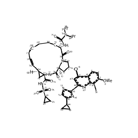 COc1ccc2c(O[C@@H]3C[C@H]4C(=O)N[C@]5(C(=O)NS(=O)(=O)C6CC6)C[C@H]5/C=C\CCCCC[C@H](NC(=O)N(C(C)C)C(C)C)C(=O)N4C3)cc(-c3nc(C4CC4)cs3)nc2c1C